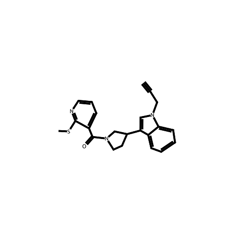 C#CCn1cc(C2CCN(C(=O)c3cccnc3SC)C2)c2ccccc21